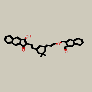 CC1(C)CC(/C=C/C2=C(O)c3cc4ccccc4cc3C2=O)=CC(=C/C=C/OCc2cc3ccccc3cc2C=O)/C1